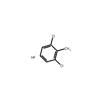 Cc1c(Cl)cccc1Cl.F